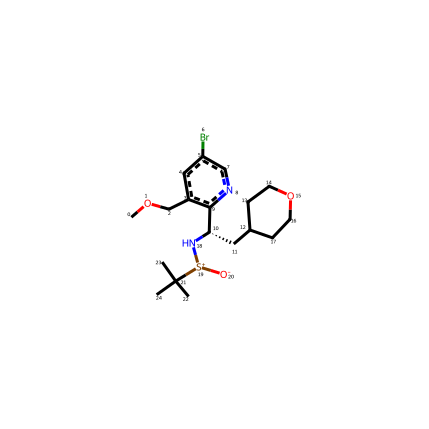 COCc1cc(Br)cnc1[C@H](CC1CCOCC1)N[S+]([O-])C(C)(C)C